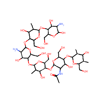 CC(=O)NC1C(OC2C(CO)OC(OC3C(CO)OC(OC4C(CO)OC(OC5C(CO)OC(O)C(N)C5O)C(C)C4O)C(N)C3O)C(C)C2O)OC(CO)C(OC2OC(CO)C(C)C(O)C2C)C1O